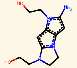 Nc1cc2c(cc3n2CCN3CCO)n1CCO